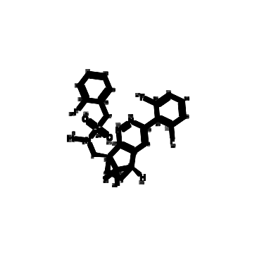 CCN(C[C@@]12CC[C@@H](c3cc(-c4c(F)cccc4F)nnc31)C2(C)C)S(=O)(=O)Cc1ccccc1F